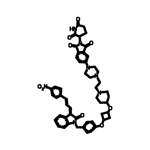 O=C1CCC(N2C(=O)c3ccc(N4CCN(CCN5CCC(OC6CC(Oc7ccc(CN8C(=O)C(=C/C=C/c9ccc([N+](=O)[O-])cc9)c9ccccc98)cc7)C6)CC5)CC4)cc3C2=O)C(=O)N1